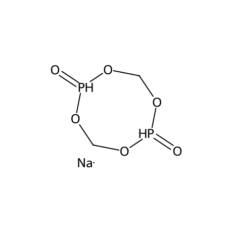 O=[PH]1OCO[PH](=O)OCO1.[Na]